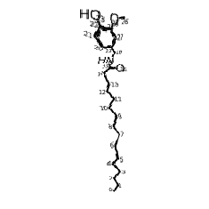 CCCCCCCCCCCCCCCC(=O)NCc1ccc(O)c(OC)c1